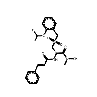 CN(C#N)C(=O)[C@H](CS(=O)(=O)Cc1ccccc1OC(F)F)NC(=O)/C=C/c1ccccc1